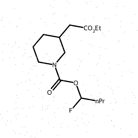 CCCC(F)OC(=O)N1CCCC(CC(=O)OCC)C1